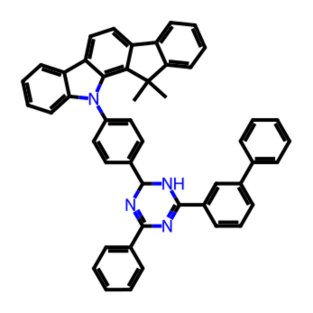 CC1(C)c2ccccc2-c2ccc3c4ccccc4n(-c4ccc(C5N=C(c6ccccc6)N=C(c6cccc(-c7ccccc7)c6)N5)cc4)c3c21